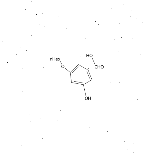 CCCCCCOc1cccc(O)c1.O=CO